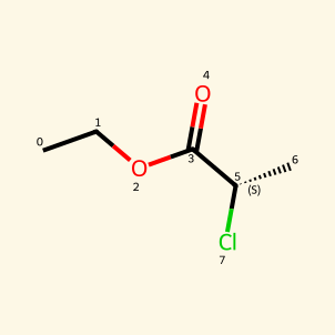 CCOC(=O)[C@H](C)Cl